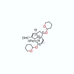 CCCCC[C@@H](/C=C\[C@H]1[C@H]2CC(C=O)=C[C@H]2C[C@H]1OC1CCCCO1)OC1CCCCO1